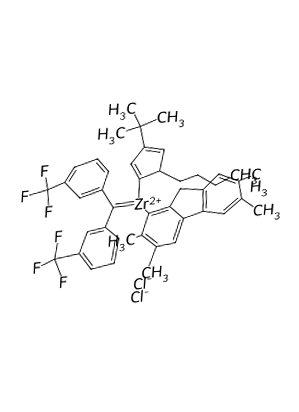 CCCCC1C=C(C(C)(C)C)C=[C]1[Zr+2](=[C](c1cccc(C(F)(F)F)c1)c1cccc(C(F)(F)F)c1)[c]1c(C)c(C)cc2c1Cc1cc(C)c(C)cc1-2.[Cl-].[Cl-]